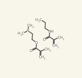 C=C(C)C(=O)NCCC.C=C(C)C(=O)OCCN(C)C